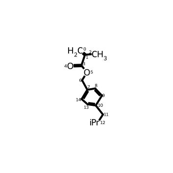 C=C(C)C(=O)OCc1ccc(CC(C)C)cc1